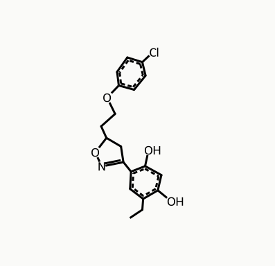 CCc1cc(C2=NOC(CCOc3ccc(Cl)cc3)C2)c(O)cc1O